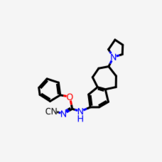 [C-]#[N+]/N=C(/Nc1ccc2c(c1)CCC(N1CCCC1)CC2)Oc1ccccc1